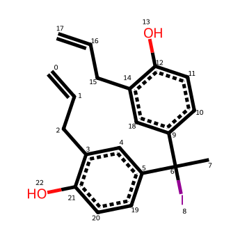 C=CCc1cc(C(C)(I)c2ccc(O)c(CC=C)c2)ccc1O